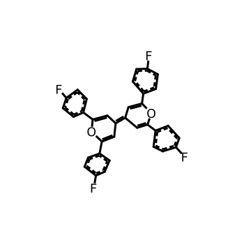 Fc1ccc(C2=CC(=C3C=C(c4ccc(F)cc4)OC(c4ccc(F)cc4)=C3)C=C(c3ccc(F)cc3)O2)cc1